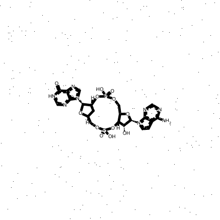 Nc1ncnc2c1ccn2[C@@H]1OC2COP(=O)(O)O[C@@H]3C[C@@H](COP(=O)(O)O[C@H]2[C@H]1O)O[C@H]3n1cnc2c(=O)[nH]cnc21